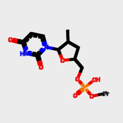 CC(C)OP(=O)(O)OCC1CC(C)C(n2ccc(=O)[nH]c2=O)O1